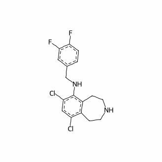 Fc1ccc(CNc2c(Cl)cc(Cl)c3c2CCNCC3)cc1F